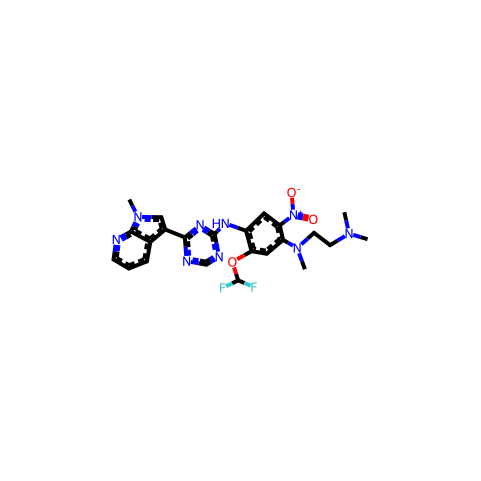 CN(C)CCN(C)c1cc(OC(F)F)c(Nc2ncnc(-c3cn(C)c4ncccc34)n2)cc1[N+](=O)[O-]